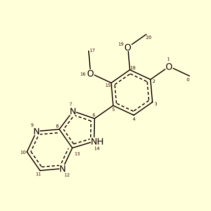 COc1ccc(-c2nc3nccnc3[nH]2)c(OC)c1OC